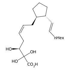 CCCCCC/C=C/[C@H]1CCC[C@@H]1C/C=C\C[C@H](O)C(O)(O)C(=O)O